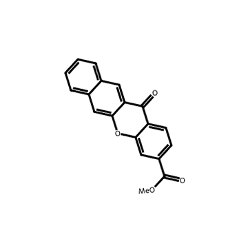 COC(=O)c1ccc2c(=O)c3cc4ccccc4cc3oc2c1